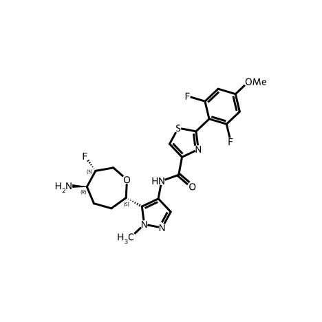 COc1cc(F)c(-c2nc(C(=O)Nc3cnn(C)c3[C@@H]3CC[C@@H](N)[C@H](F)CO3)cs2)c(F)c1